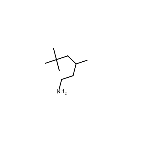 CC(CCN)CC(C)(C)C